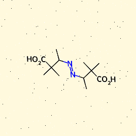 CC(/N=N/C(C)C(C)(C)C(=O)O)C(C)(C)C(=O)O